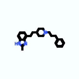 Cc1nc2c(CCC3CCN(CCCc4ccccc4)CC3)cccc2[nH]1